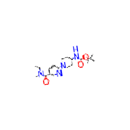 CCN(C)C(=O)c1ccc(N2CCC(NC(=O)OC(C)(C)C)CC2)nc1